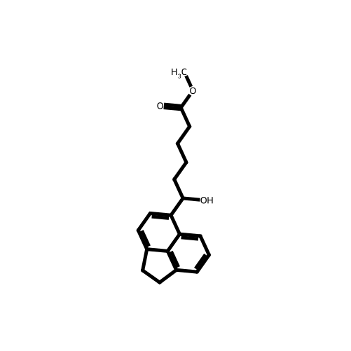 COC(=O)CCCCC(O)c1ccc2c3c(cccc13)CC2